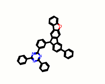 c1ccc(-c2ccc3c(c2)-c2cc4oc5ccccc5c4cc2C3c2cccc(-c3nc(-c4ccccc4)nc(-c4ccccc4)n3)c2)cc1